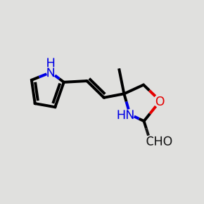 CC1(C=Cc2ccc[nH]2)COC(C=O)N1